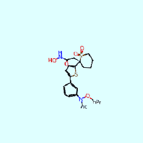 CCCON(C(C)=O)c1cccc(-c2ccc([C@@]3(CC(=O)NO)CCCCS3(=O)=O)s2)c1